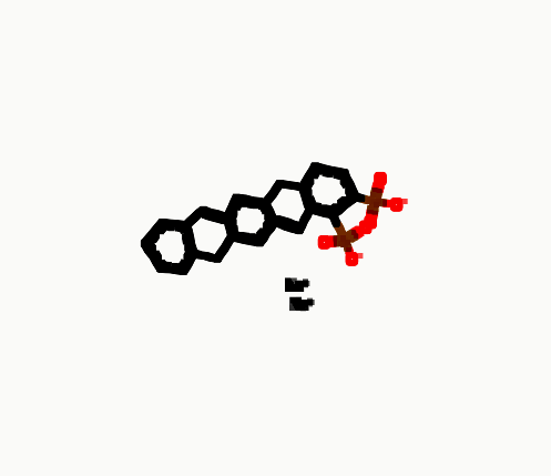 O=S(=O)([O-])c1ccc2c(c1S(=O)(=O)[O-])C=c1cc3c(cc1C2)=Cc1ccccc1C3.[Na+].[Na+]